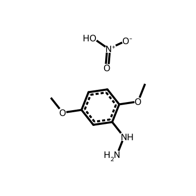 COc1ccc(OC)c(NN)c1.O=[N+]([O-])O